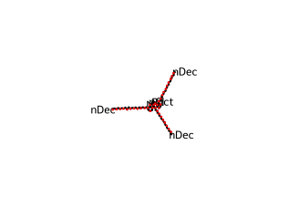 CCCCCCCCCCCCCCCCCCCCCCCCC=CCCCc1ccccc1N=C(CCCCCCCC)C(C=CCCCCCCCCCCCCCCCCCCCCCCCCCCC)=[N+]([Pd])c1ccccc1CCCC=CCCCCCCCCCCCCCCCCCCCCCCCC